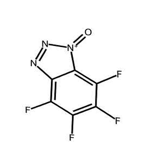 O=[N+]1N=Nc2c(F)c(F)c(F)c(F)c21